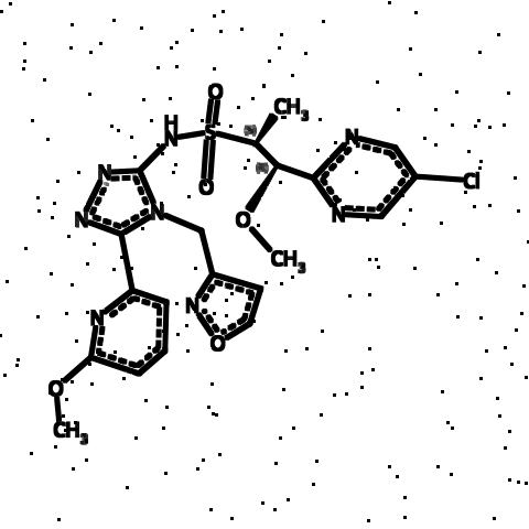 COc1cccc(-c2nnc(NS(=O)(=O)[C@@H](C)[C@H](OC)c3ncc(Cl)cn3)n2Cc2ccon2)n1